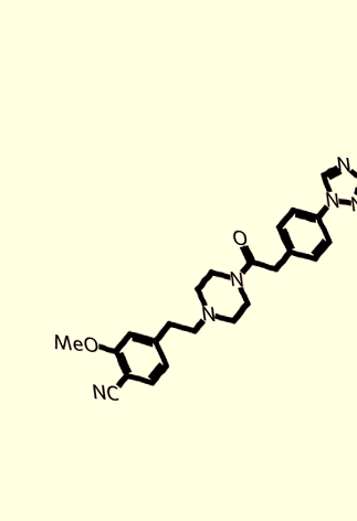 COc1cc(CCN2CCN(C(=O)Cc3ccc(-n4cnnn4)cc3)CC2)ccc1C#N